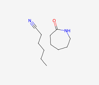 CCCCCC#N.O=C1CCCCCN1